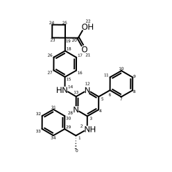 C[C@@H](Nc1cc(-c2ccccc2)nc(Nc2ccc(C3(C(=O)O)CCC3)cc2)n1)c1ccccc1